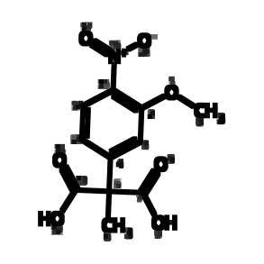 COc1cc(C(C)(C(=O)O)C(=O)O)ccc1[N+](=O)[O-]